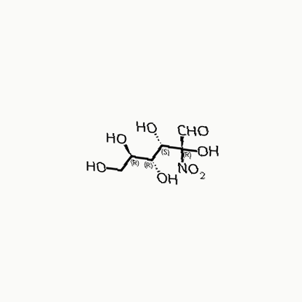 O=C[C@](O)([C@@H](O)[C@H](O)[C@H](O)CO)[N+](=O)[O-]